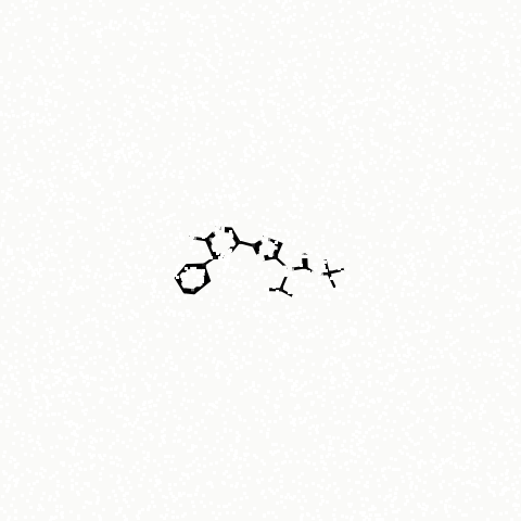 CC(C)N(C(=O)OC(C)(C)C)c1cnc(-c2cnc(N)c(-c3ccccc3)n2)s1